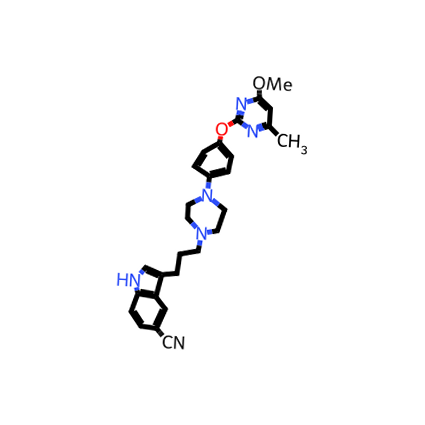 COc1cc(C)nc(Oc2ccc(N3CCN(CCCc4c[nH]c5ccc(C#N)cc45)CC3)cc2)n1